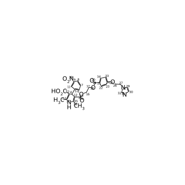 CC1=C(C(=O)O)C(c2cccc([N+](=O)[O-])c2)C(C(=O)OCCOC(=O)c2ccc(OCCn3ccnc3)cc2)=C(C)N1